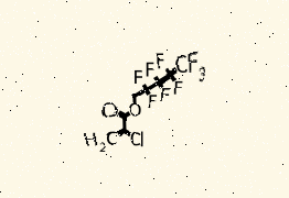 C=C(Cl)C(=O)OCC(F)(F)C(F)(F)C(F)(F)C(F)(F)F